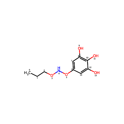 CCCONOc1cc(O)c(O)c(O)c1